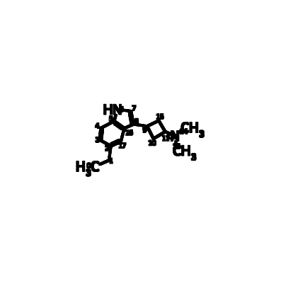 CCc1ccc2[nH]cc(C3CC(N(C)C)C3)c2c1